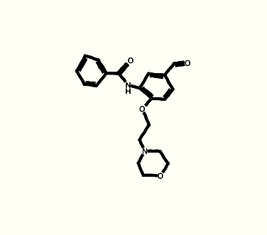 O=Cc1ccc(OCCN2CCOCC2)c(NC(=O)c2ccccc2)c1